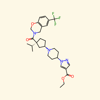 CCOC(=O)c1cnn(C2CCN([C@@H]3CC[C@@](C(=O)N4COc5ccc(C(F)(F)F)cc5C4)(C(C)C)C3)CC2)c1